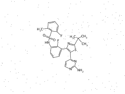 Cc1cccc(F)c1S(=O)(=O)Nc1cccc(-c2nc(C(C)(C)C)sc2-c2ccnc(N)n2)c1F